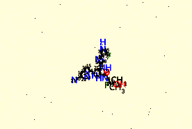 CC(C)(O)[C@H](F)CNC(=O)c1cnc(-c2ccc3cc(C#N)cnn23)cc1Nc1cnn([C@@H]2CNC[C@@H]2F)c1